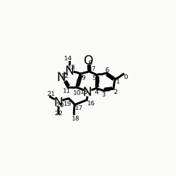 Cc1ccc2c(c1)c(=O)c1c(cnn1C)n2CC(C)CN(C)C